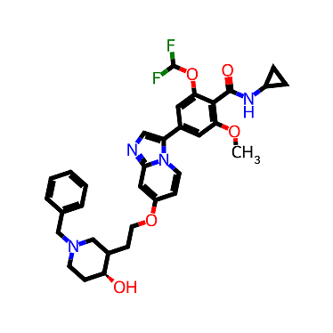 COc1cc(-c2cnc3cc(OCCC4CN(Cc5ccccc5)CC[C@@H]4O)ccn23)cc(OC(F)F)c1C(=O)NC1CC1